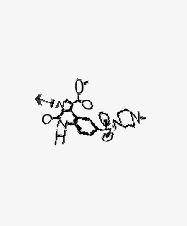 COC(=O)c1c[nH]c2c(=O)[nH]c3ccc(S(=O)(=O)N4CCN(C)CC4)cc3c12